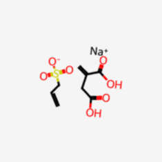 C=C(CC(=O)O)C(=O)O.C=CCS(=O)(=O)[O-].[Na+]